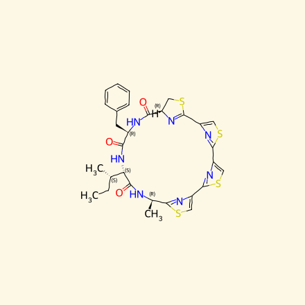 CC[C@H](C)[C@@H]1NC(=O)[C@@H](Cc2ccccc2)NC(=O)[C@@H]2CSC(=N2)c2csc(n2)-c2csc(n2)-c2csc(n2)[C@@H](C)NC1=O